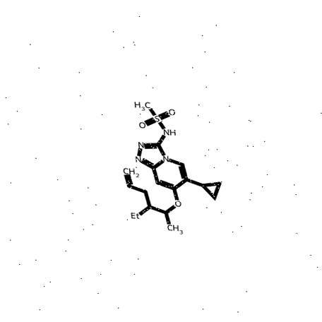 C=CCC(CC)C(C)Oc1cc2nnc(NS(C)(=O)=O)n2cc1C1CC1